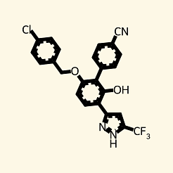 N#Cc1ccc(-c2c(OCc3ccc(Cl)cc3)ccc(-c3cc(C(F)(F)F)[nH]n3)c2O)cc1